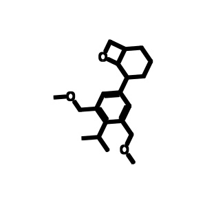 COCc1cc(C2CCCC3COC32)cc(COC)c1C(C)C